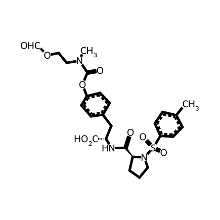 Cc1ccc(S(=O)(=O)N2CCC[C@H]2C(=O)N[C@@H](Cc2ccc(OC(=O)N(C)CCOC=O)cc2)C(=O)O)cc1